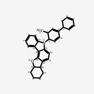 CC1C=C(C2C=CC=CC2)C=CC1n1c2ccccc2c2c3c(ccc21)C1CCCCC1O3